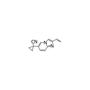 C=Cc1cn2cc(C3(C#N)CC3)ccc2n1